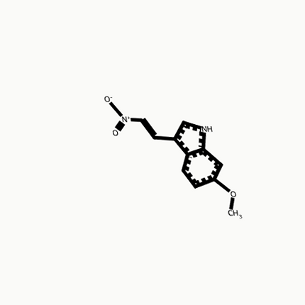 COc1ccc2c(C=C[N+](=O)[O-])c[nH]c2c1